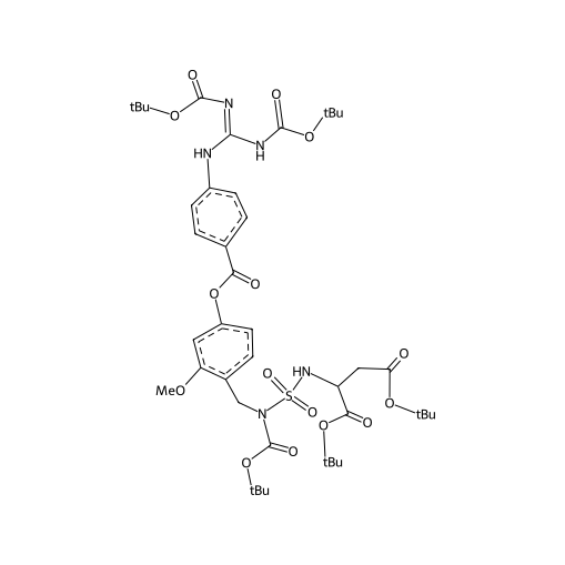 COc1cc(OC(=O)c2ccc(NC(=NC(=O)OC(C)(C)C)NC(=O)OC(C)(C)C)cc2)ccc1CN(C(=O)OC(C)(C)C)S(=O)(=O)NC(CC(=O)OC(C)(C)C)C(=O)OC(C)(C)C